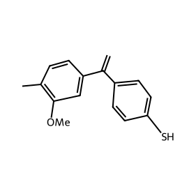 C=C(c1ccc(S)cc1)c1ccc(C)c(OC)c1